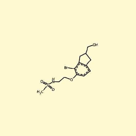 CS(=O)(=O)NCCOc1ccc2c(c1Br)CC(CO)C2